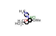 COc1cc2c(c(N3CCN(C)CC3)c1)OC(C)(C(=O)O)CC2.Cl